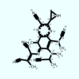 C/C(C#N)=C(C#N)\N=C1\C(N(C)C(C)C#N)=C(N(C)C#N)c2nc(C3CN3)c(C#N)nc2C1C